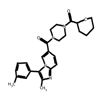 Cc1cccc(-c2c(C)nc3ccc(C(=O)N4CCN(C(=O)C5CCCCC5)CC4)cn23)c1